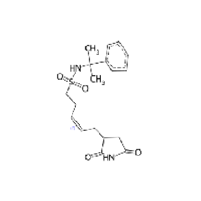 CC(C)(NS(=O)(=O)CC/C=C\CC1CC(=O)NC1=O)c1ccccc1